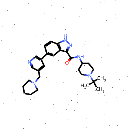 CC(C)(C)N1CCC(NC(=O)c2n[nH]c3ccc(-c4cncc(CN5CCCCC5)c4)cc23)CC1